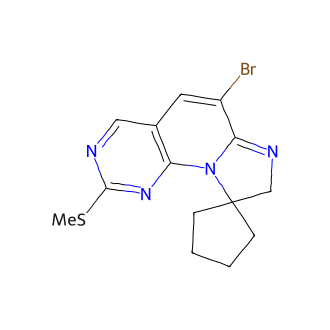 CSc1ncc2c(n1)N1C(=NCC13CCCC3)C(Br)=C2